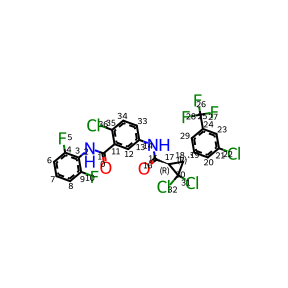 O=C(Nc1c(F)cccc1F)c1cc(NC(=O)[C@H]2[C@H](c3cc(Cl)cc(C(F)(F)F)c3)C2(Cl)Cl)ccc1Cl